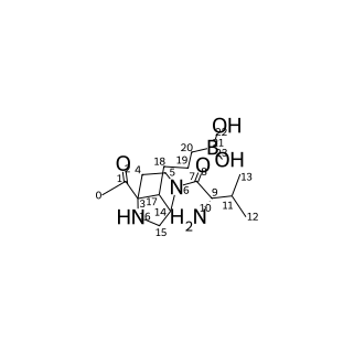 CC(=O)C12CCN(C(=O)[C@@H](N)C(C)C)C(CN1)C2CCCB(O)O